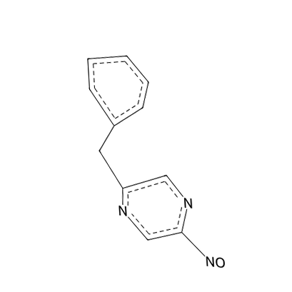 O=Nc1cnc(Cc2ccccc2)cn1